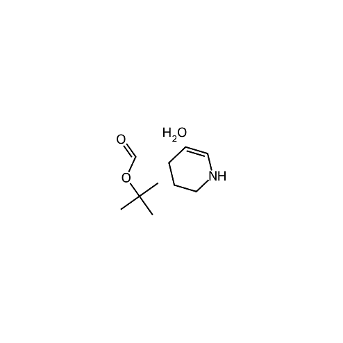 C1=CNCCC1.CC(C)(C)OC=O.O